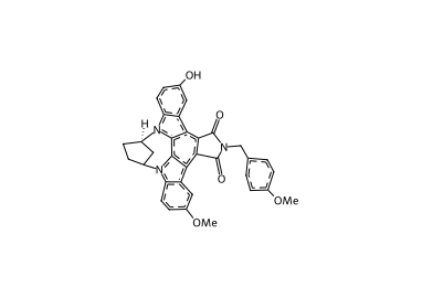 COc1ccc(CN2C(=O)c3c(c4c5cc(O)ccc5n5c4c4c3c3cc(OC)ccc3n4C3CC[C@@H]5C3)C2=O)cc1